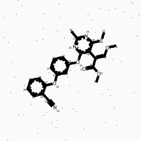 CO/C=C(/C(=O)OC)c1c(Oc2cccc(Oc3ccccc3C#N)c2)nc(C)nc1SC